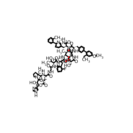 CCc1cc(OC)ccc1-c1ccc(C[C@H](NC(=O)[C@H](CC(=O)O)NC(=O)[C@H](CO)NC(=O)[C@@H](NC(=O)C(C)(Cc2ccccc2F)NC(=O)[C@@H](NC(=O)CNC(=O)[C@H](CCC(=O)O)NC(=O)C2(C)CCCN2C(=O)[C@@H](O)Cc2c[nH]cn2)[C@@H](C)O)[C@@H](C)O)C(=O)N[C@@H](Cc2ccc(-c3ccccc3C)nc2)C(N)=O)cc1